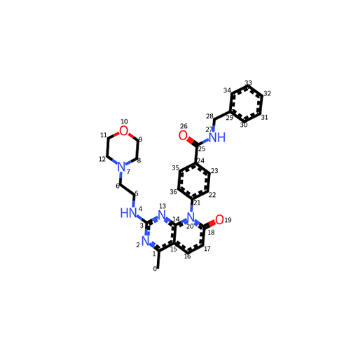 Cc1nc(NCCN2CCOCC2)nc2c1ccc(=O)n2-c1ccc(C(=O)NCc2ccccc2)cc1